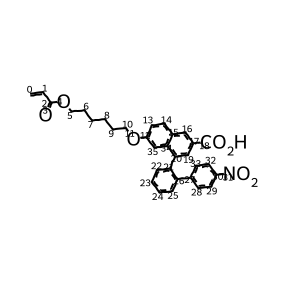 C=CC(=O)OCCCCCCOc1ccc2cc(C(=O)O)cc(-c3ccccc3-c3ccc([N+](=O)[O-])cc3)c2c1